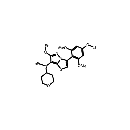 CCCN(c1c(OCC)nn2c(-c3c(OC)cc(OCC)cc3OC)csc12)C1CCOCC1